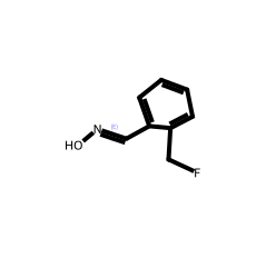 O/N=C/c1ccccc1CF